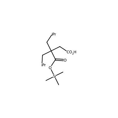 CC(C)CC(CC(=O)O)(CC(C)C)C(=O)O[Si](C)(C)C